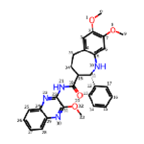 COc1cc2c(cc1OC)N[C@H](c1ccccc1)C(C(=O)Nc1nc3ccccc3nc1OC)CC2